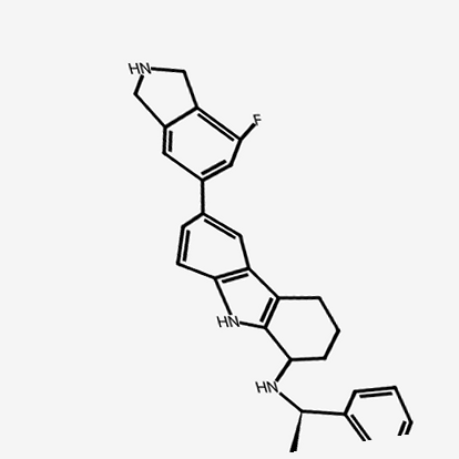 C[C@@H](NC1CCCc2c1[nH]c1ccc(-c3cc(F)c4c(c3)CNC4)cc21)c1ccccc1